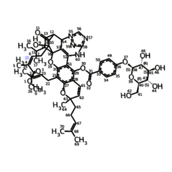 COC(=O)/C(C)=C\CC1(O)C(=O)C2CC(C(C)C)C13Oc1c(CC=C(C)C)c4c(c(OC(=O)c5ccc(O[C@@H]6O[C@H](CO)[C@@H](O)[C@H](O)[C@H]6O)cc5)c1C1=C3C2n2cnc(n2)N1)C=CC(C)(CCC=C(C)C)O4